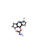 C[C@@H]1CCc2c1nc1c(c2OC(N)=O)CCC1